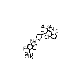 COC(=O)c1c(F)cc2nc([C@H]3CC[C@H](OCc4c(-c5c(Cl)cccc5Cl)noc4C4CC4)CC3)sc2c1F